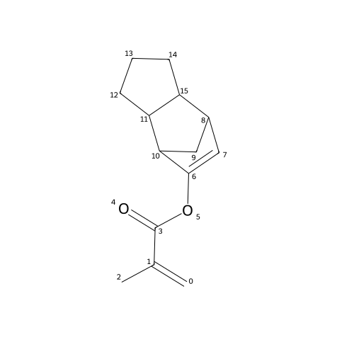 C=C(C)C(=O)OC1=CC2CC1C1CCCC21